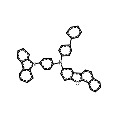 c1ccc(-c2ccc(N(c3ccc(-n4c5ccccc5c5ccccc54)cc3)c3ccc4oc5c6ccccc6ccc5c4c3)cc2)cc1